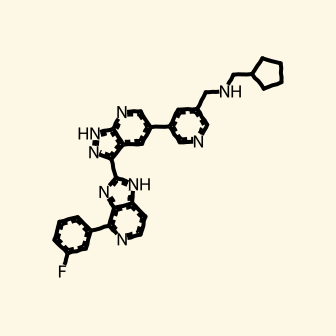 Fc1cccc(-c2nccc3[nH]c(-c4n[nH]c5ncc(-c6cncc(CNCC7CCCC7)c6)cc45)nc23)c1